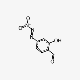 O=Cc1ccc(N=N[N+](=O)[O-])cc1O